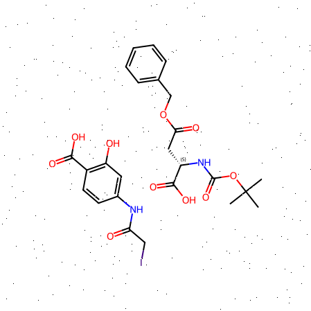 CC(C)(C)OC(=O)N[C@@H](CC(=O)OCc1ccccc1)C(=O)O.O=C(CI)Nc1ccc(C(=O)O)c(O)c1